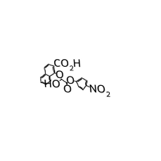 O=C(O)c1ccc2ccccc2c1OC(O)C(=O)Oc1ccc([N+](=O)[O-])cc1